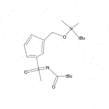 CC(C)(C)C(=O)N=S(C)(=O)c1cccc(CO[Si](C)(C)C(C)(C)C)c1